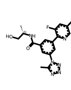 Cc1cnc(-c2cc(C(=O)N[C@@H](C)CO)cc(-n3nnnc3C)c2)c(F)c1